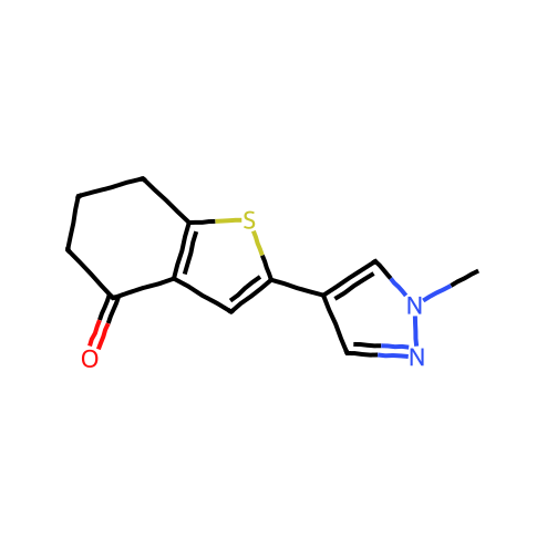 Cn1cc(-c2cc3c(s2)CCCC3=O)cn1